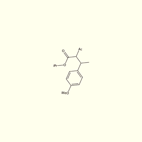 COc1ccc(C(C)C(C(C)=O)C(=O)OC(C)C)cc1